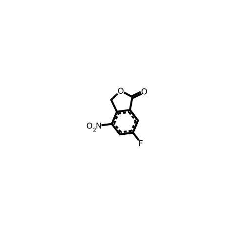 O=C1OCc2c1cc(F)cc2[N+](=O)[O-]